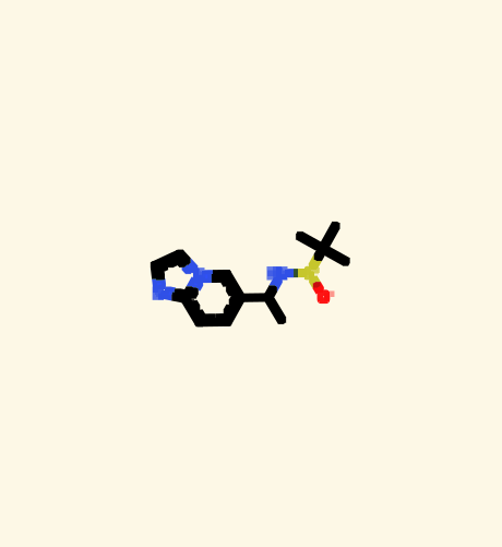 CC(N[S+]([O-])C(C)(C)C)c1ccc2nccn2c1